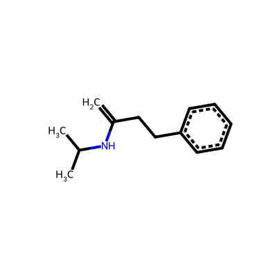 C=C(CCc1ccccc1)NC(C)C